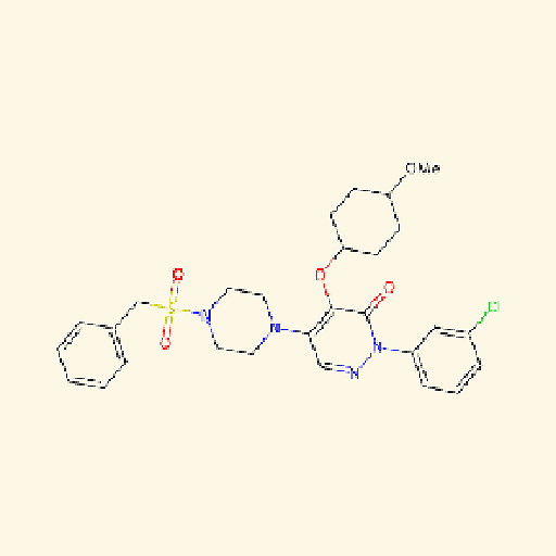 COC1CCC(Oc2c(N3CCN(S(=O)(=O)Cc4ccccc4)CC3)cnn(-c3cccc(Cl)c3)c2=O)CC1